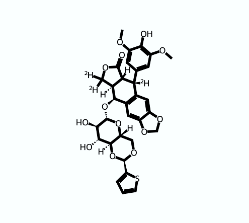 [2H]C1([2H])OC(=O)[C@H]2[C@H]1[C@H](O[C@@H]1O[C@@H]3CO[C@@H](c4cccs4)O[C@H]3[C@H](O)[C@H]1O)c1cc3c(cc1[C@@]2([2H])c1cc(OC)c(O)c(OC)c1)OCO3